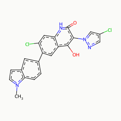 Cn1ccc2cc(-c3cc4c(O)c(-n5cc(Cl)cn5)c(=O)[nH]c4cc3Cl)ccc21